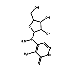 Nc1c(N(N)C2OC(CO)C(O)C2O)cn[nH]c1=O